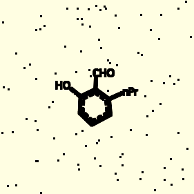 CCCc1cccc(O)c1C=O